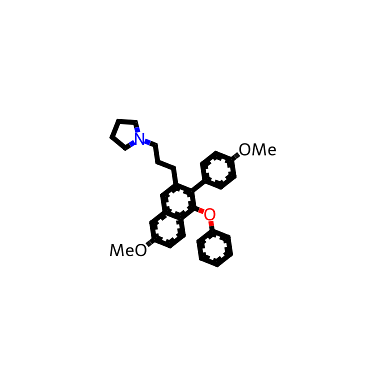 COc1ccc(-c2c(CCCN3CCCC3)cc3cc(OC)ccc3c2Oc2ccccc2)cc1